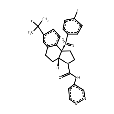 CC(F)(c1ccc2c(c1)CC[C@H]1N(C(=O)Nc3ccnnc3)CC[C@@]21S(=O)(=O)c1ccc(F)cc1)C(F)(F)F